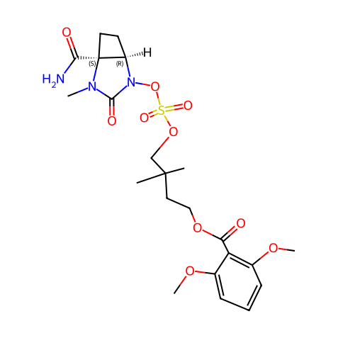 COc1cccc(OC)c1C(=O)OCCC(C)(C)COS(=O)(=O)ON1C(=O)N(C)[C@@]2(C(N)=O)CC[C@@H]12